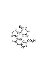 O=C(O)c1cnn2cc(F)c(N3CCCC3c3cc(F)ccc3F)nc12